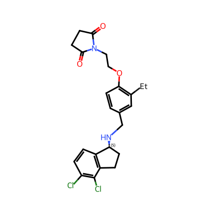 CCc1cc(CN[C@H]2CCc3c2ccc(Cl)c3Cl)ccc1OCCN1C(=O)CCC1=O